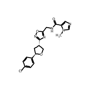 Cn1cncc1C(=O)NCc1nc([C@@H]2CO[C@@H](c3ccc(Cl)cc3)C2)no1